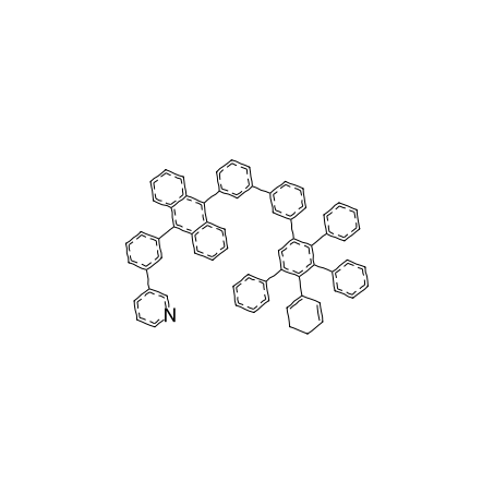 C1=CC(c2c(-c3ccccc3)cc(-c3cccc(-c4cccc(-c5c6ccccc6c(-c6cccc(-c7cccnc7)c6)c6ccccc56)c4)c3)c(-c3ccccc3)c2-c2ccccc2)=CCC1